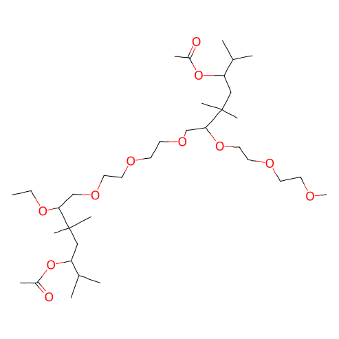 CCOC(COCCOCCOCC(OCCOCCOC)C(C)(C)CC(OC(C)=O)C(C)C)C(C)(C)CC(OC(C)=O)C(C)C